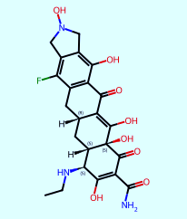 CCN[C@@H]1C(O)=C(C(N)=O)C(=O)[C@@]2(O)C(O)=C3C(=O)c4c(O)c5c(c(F)c4C[C@H]3C[C@@H]12)CN(O)C5